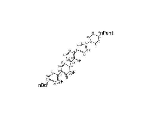 CCCCCC1CCC(c2ccc(-c3ccc4c(c3F)-c3c-4cc(-c4ccc(CCCC)cc4F)c(F)c3F)cc2)CC1